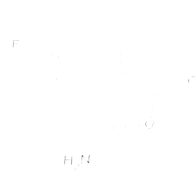 NC1OC(=O)c2ccc(F)cc21